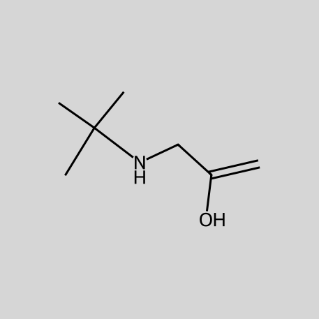 C=C(O)CNC(C)(C)C